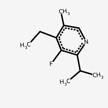 CCc1c(C)cnc(C(C)C)c1F